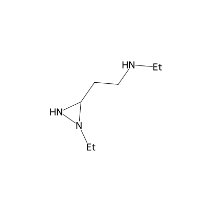 CCNCCC1NN1CC